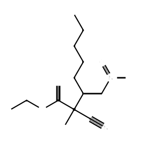 CCCCCC(C[N+](=O)[O-])C(C)(C#N)C(=O)OCC